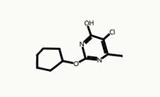 Cc1nc(OC2CCCCC2)nc(O)c1Cl